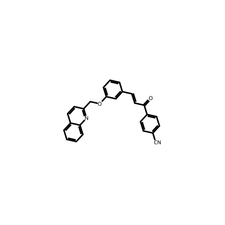 N#Cc1ccc(C(=O)C=Cc2cccc(OCc3ccc4ccccc4n3)c2)cc1